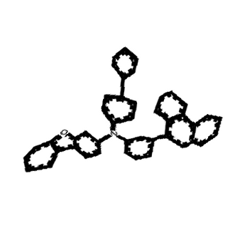 c1ccc(-c2ccc(N(c3cccc(-c4cc5ccccc5c5ccccc45)c3)c3ccc4c(c3)oc3ccccc34)cc2)cc1